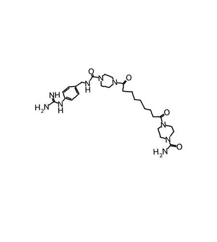 N=C(N)Nc1ccc(CNC(=O)N2CCN(C(=O)CCCCCCCC(=O)N3CCN(C(N)=O)CC3)CC2)cc1